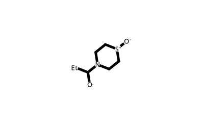 CCC([O])N1CC[S+]([O-])CC1